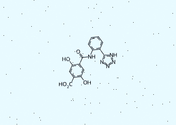 O=C(O)c1cc(O)c(C(=O)Nc2ccccc2-c2nnn[nH]2)cc1O